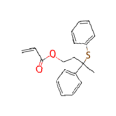 C=CC(=O)OCCC(C)(Sc1ccccc1)c1ccccc1